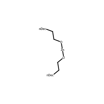 CCCCCCCCCCCC[O][Zn][O]CCCCCCCCCCCC